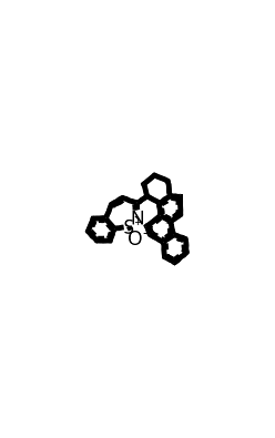 [O-][S+]1N=C(C2CCCc3ccc4c(ccc5ccccc54)c32)C=Cc2ccccc21